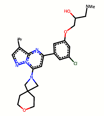 CNCC(O)COc1cc(Cl)cc(-c2cc(N3CC4(CCOCC4)C3)n3ncc(C(C)C)c3n2)c1